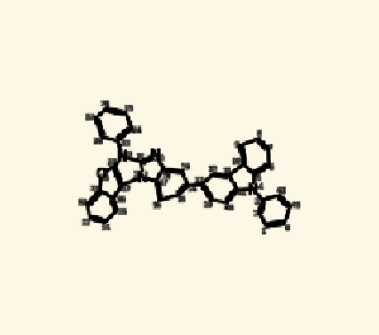 c1ccc(-n2c3ccccc3c3cc(-c4ccc5c(c4)nc4n(-c6ccccc6)c6oc7ccccc7c6n54)ccc32)cc1